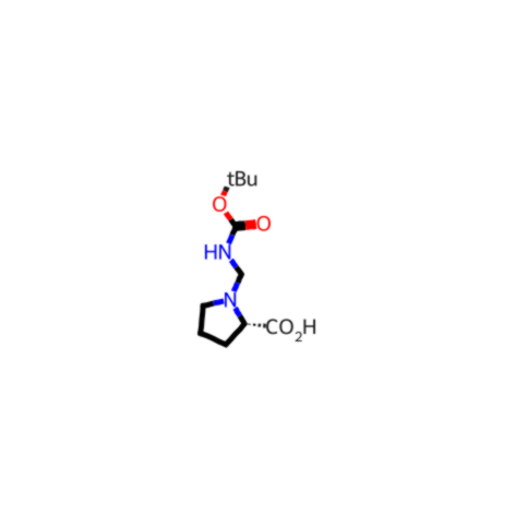 CC(C)(C)OC(=O)NCN1CCC[C@H]1C(=O)O